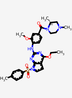 CCOc1nc(Nc2ccc(C(=O)N3CCN(C)C[C@H]3C)cc2OC)nc2c1ccn2S(=O)(=O)c1ccc(C)cc1